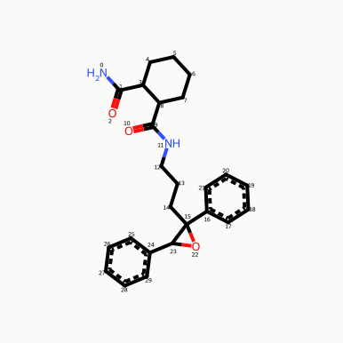 NC(=O)C1CCCCC1C(=O)NCCCC1(c2ccccc2)OC1c1ccccc1